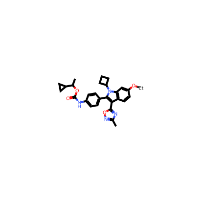 CCOc1ccc2c(-c3nc(C)no3)c(-c3ccc(NC(=O)OC(C)C4CC4)cc3)n(C3CCC3)c2c1